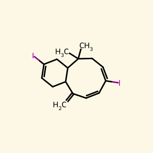 C=C1/C=C\C(I)=C/CC(C)(C)C2CC(I)=CCC12